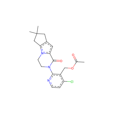 CC(=O)OCc1c(Cl)ccnc1N1CCn2c(cc3c2CC(C)(C)C3)C1=O